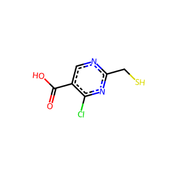 O=C(O)c1cnc(CS)nc1Cl